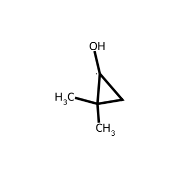 CC1(C)C[C]1O